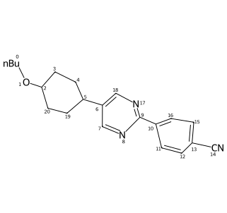 CCCCOC1CCC(c2cnc(-c3ccc(C#N)cc3)nc2)CC1